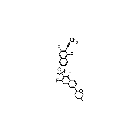 CC1CCC(c2ccc3c(F)c(C(F)(F)Oc4ccc5c(F)c(C#CC(F)(F)F)c(F)cc5c4)c(F)cc3c2)OC1